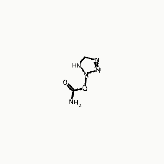 NC(=O)ON1N=NCN1